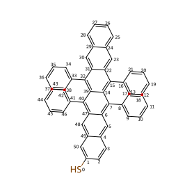 Sc1ccc2cc3c(-c4ccccc4)c4c(-c5ccccc5)c5cc6ccccc6cc5c(-c5ccccc5)c4c(-c4ccccc4)c3cc2c1